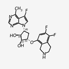 Cc1ncnc2c1c(F)cn2[C@@H]1C[C@H](Oc2cc(F)c(F)c3c2CNCC3)[C@@H](O)[C@H]1O